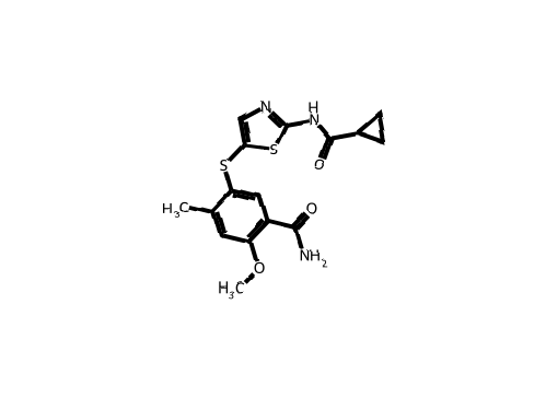 COc1cc(C)c(Sc2cnc(NC(=O)C3CC3)s2)cc1C(N)=O